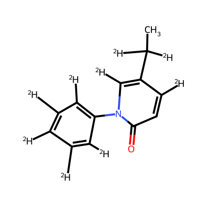 [2H]c1cc(=O)n(-c2c([2H])c([2H])c([2H])c([2H])c2[2H])c([2H])c1C([2H])([2H])C